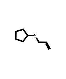 C=CCSC1CCCC1